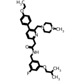 CCOc1ccc(-c2ccc(CC(=O)NCc3cc(F)cc(OCC(C)C)c3)nc2CN2CCN(C)CC2)cc1